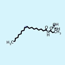 CCCCCCCC/C=C\CCCCCCCC(=O)NC(CC)OP(O)O